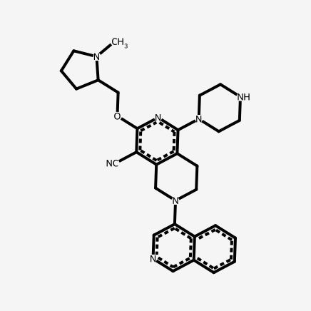 CN1CCCC1COc1nc(N2CCNCC2)c2c(c1C#N)CN(c1cncc3ccccc13)CC2